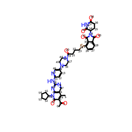 CC(=O)c1c(C)c2cnc(Nc3ccc(N4CCN(C(=O)CCCSc5cccc6c5C(=O)N(C5CCC(=O)NC5=O)C6=O)CC4)cn3)nc2n(C2CCCC2)c1=O